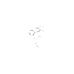 NC1CCCC(Nc2c3c(nc4ccccc24)CCCC3)C1